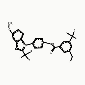 COc1ccc2c(c1)nc(C(F)(F)F)n2-c1ccc(NC(=O)c2cc(CF)cc(C(F)(F)F)c2)cc1